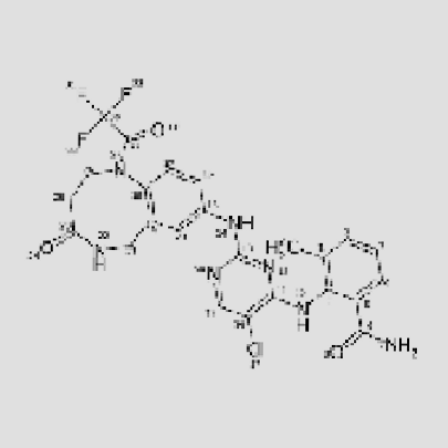 Cc1cccc(C(N)=O)c1Nc1nc(Nc2ccc3c(c2)CNC(=O)CCN3C(=O)C(F)(F)F)ncc1Cl